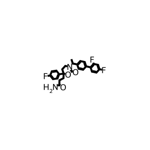 CC(c1ccc(-c2ccc(F)cc2F)cc1)N1CCC(CCC(N)=O)(c2ccc(F)cc2)OC1=O